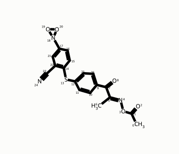 CC(=O)O/N=C(\C)C(=O)c1ccc(Sc2ccc(-n3oo3)cc2C#N)cc1